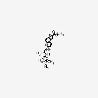 COC(=O)c1cc2c(ccc3nc(NC[C@@H](C)NC(=O)OC(C)(C)C)ccc32)s1